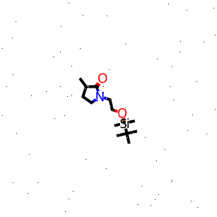 CC1CCN(CCO[Si](C)(C)C(C)(C)C)C1=O